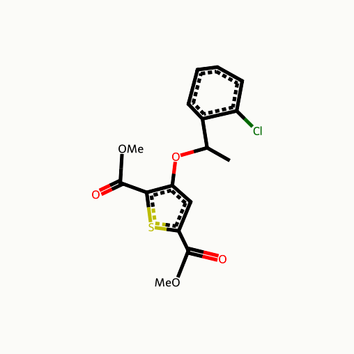 COC(=O)c1cc(OC(C)c2ccccc2Cl)c(C(=O)OC)s1